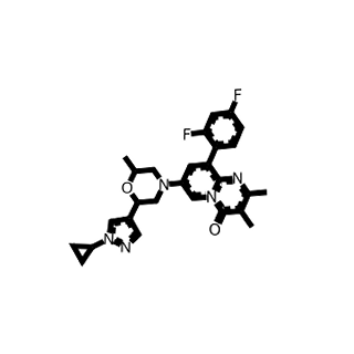 Cc1nc2c(-c3ccc(F)cc3F)cc(N3CC(C)OC(c4cnn(C5CC5)c4)C3)cn2c(=O)c1C